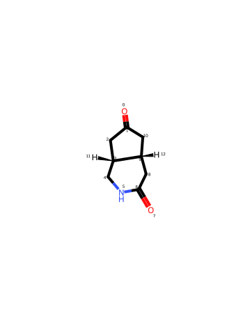 O=C1C[C@H]2CNC(=O)C[C@H]2C1